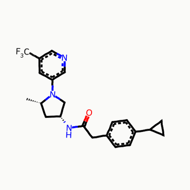 C[C@H]1C[C@@H](NC(=O)Cc2ccc(C3CC3)cc2)CN1c1cncc(C(F)(F)F)c1